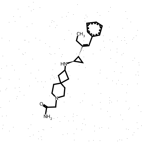 CC/C(=C\c1ccccc1)[C@@H]1C[C@H]1NC1CC2(CCN(CC(N)=O)CC2)C1